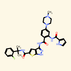 CN1CCN(c2ccc(C(=O)Nc3n[nH]c4sc(C(=O)NC(C)(C)c5ccccc5F)cc34)c(NC(=O)c3ccc[nH]3)c2)CC1